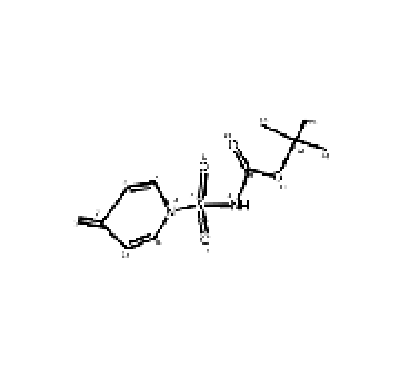 C=C1C=CN(S(=O)(=O)NC(=O)OC(C)(C)C)C=C1